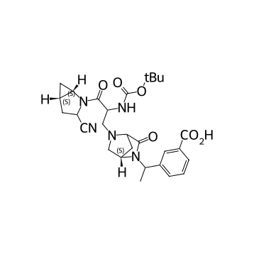 CC(c1cccc(C(=O)O)c1)N1C(=O)C2C[C@H]1CN2CC(NC(=O)OC(C)(C)C)C(=O)N1C(C#N)C[C@@H]2C[C@@H]21